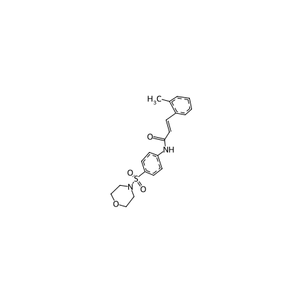 Cc1ccccc1/C=C/C(=O)Nc1ccc(S(=O)(=O)N2CCOCC2)cc1